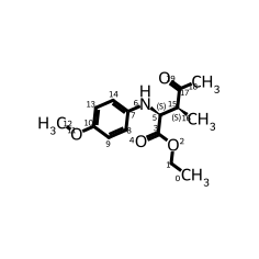 CCOC(=O)[C@@H](Nc1ccc(OC)cc1)[C@H](C)C(C)=O